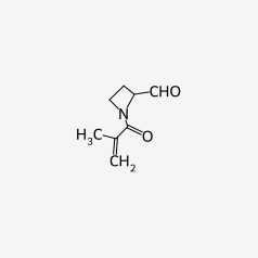 C=C(C)C(=O)N1CCC1C=O